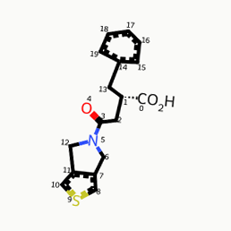 O=C(O)[C@H](CC(=O)N1Cc2cscc2C1)Cc1ccccc1